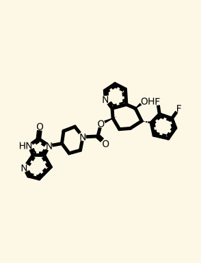 O=C(O[C@@H]1CC[C@@H](c2cccc(F)c2F)[C@H](O)c2cccnc21)N1CCC(n2c(=O)[nH]c3ncccc32)CC1